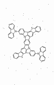 c1ccc2c(c1)sc1c2cc2c3cc4c(cc3n3c5cc(-n6c7ccccc7c7ccccc76)ccc5c1c23)c1cc2c3ccccc3sc2c2c3ccc(-n5c6ccccc6c6ccccc65)cc3n4c12